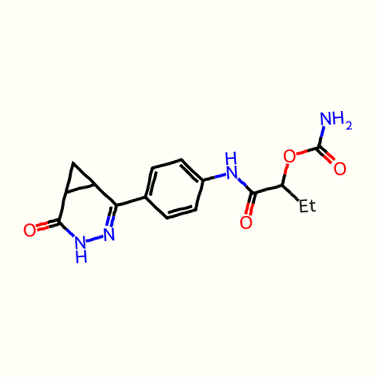 CCC(OC(N)=O)C(=O)Nc1ccc(C2=NNC(=O)C3CC23)cc1